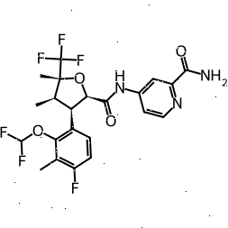 Cc1c(F)ccc([C@H]2[C@@H](C)[C@](C)(C(F)(F)F)O[C@H]2C(=O)Nc2ccnc(C(N)=O)c2)c1OC(F)F